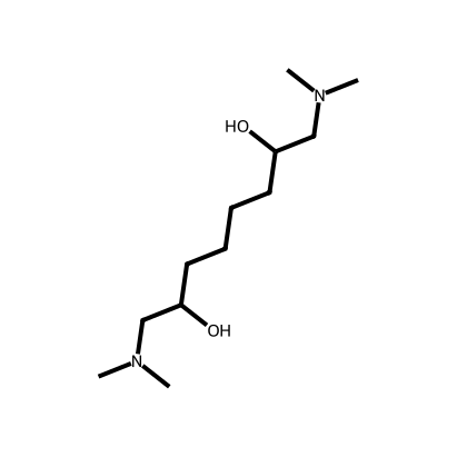 CN(C)CC(O)CCCCC(O)CN(C)C